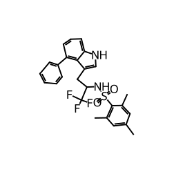 Cc1cc(C)c(S(=O)(=O)NC(Cc2c[nH]c3cccc(-c4ccccc4)c23)C(F)(F)F)c(C)c1